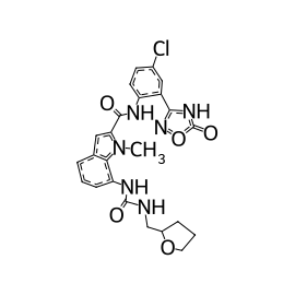 Cn1c(C(=O)Nc2ccc(Cl)cc2-c2noc(=O)[nH]2)cc2cccc(NC(=O)NCC3CCCO3)c21